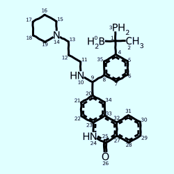 BC(C)(P)c1cccc(C(NCCCN2CCCCC2)c2ccc3[nH]c(=O)c4ccccc4c3c2)c1